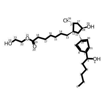 CCCCCC(O)c1ccc([C@@H]2[C@@H](CCCCCCC(=O)OCCO)[C@H](Cl)C[C@H]2O)cc1